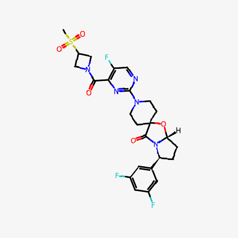 CS(=O)(=O)C1CN(C(=O)c2nc(N3CCC4(CC3)O[C@@H]3CC[C@@H](c5cc(F)cc(F)c5)N3C4=O)ncc2F)C1